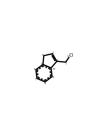 Cl[CH]C1=CCc2ccccc21